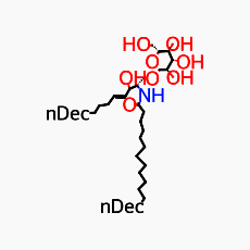 CCCCCCCCCCCCC/C=C/[C@@H](O)[C@H](CO[C@@H]1O[C@H](CO)[C@@H](O)[C@H](O)[C@H]1O)NC(=O)CCCCCCCCCCCCCCCCCCCCC